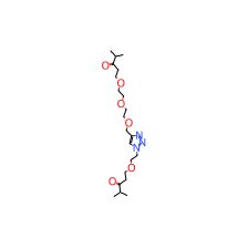 CC(C)C(=O)CCOCCOCCOCc1cn(CCOCCC(=O)C(C)C)nn1